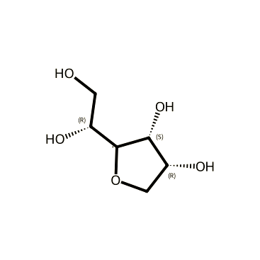 OC[C@@H](O)[C]1OC[C@@H](O)[C@H]1O